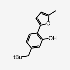 Cc1ccc(-c2ccc(CC(C)(C)C)cc2O)o1